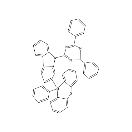 c1ccc(-c2nc(-c3ccccc3)nc(-n3c4ccccc4c4ccc([Si]5(c6ccccc6)c6ccccc6Sc6ccccc65)cc43)n2)cc1